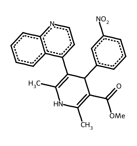 COC(=O)C1=C(C)NC(C)=C(c2ccnc3ccccc23)C1c1cccc([N+](=O)[O-])c1